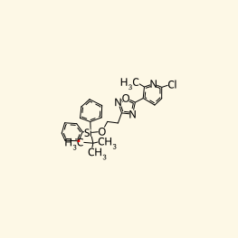 Cc1nc(Cl)ccc1-c1nc(CCO[Si](c2ccccc2)(c2ccccc2)C(C)(C)C)no1